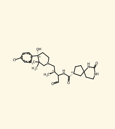 C[C@@H](CN1CC[C@](O)(c2ccc(Cl)cc2)C(C)(C)C1)C(C=O)NC(=O)[C@@H]1CCC2(CCNC(=O)N2)C1